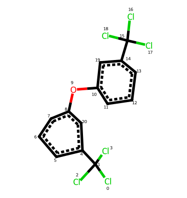 ClC(Cl)(Cl)c1cccc(Oc2cccc(C(Cl)(Cl)Cl)c2)c1